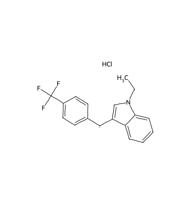 CCn1cc([CH]c2ccc(C(F)(F)F)cc2)c2ccccc21.Cl